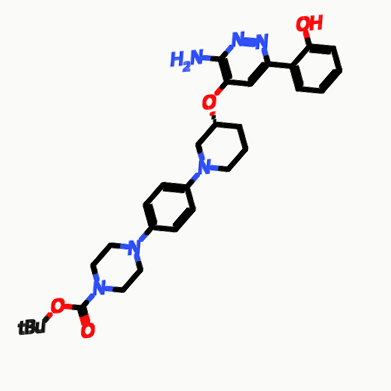 CC(C)(C)OC(=O)N1CCN(c2ccc(N3CCC[C@@H](Oc4cc(-c5ccccc5O)nnc4N)C3)cc2)CC1